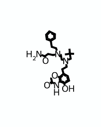 CC(C)(C)CN(CCc1ccc(O)c2c1OCC(=O)N2)CCN(CCC(N)=O)CCc1ccccc1